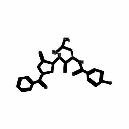 CC(C)C[C@H](NC(=O)c1ccc(F)cc1)C(=O)NC1CN(C(=O)c2ccccc2)CC1=O